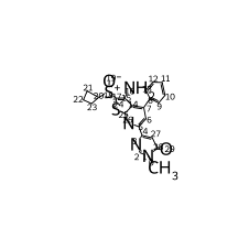 Cn1cnc(-c2cc(-c3ccccc3)c3c(N)c([S+]([O-])C4CCC4)sc3n2)cc1=O